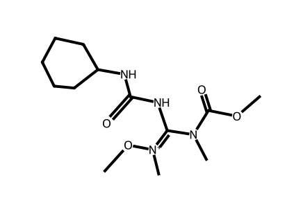 COC(=O)N(C)C(NC(=O)NC1CCCCC1)=[N+](C)OC